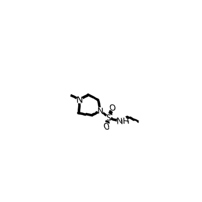 CCNS(=O)(=O)N1CCN(C)CC1